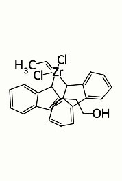 C[CH]=[Zr]([Cl])([Cl])([CH]1C(CCO)=Cc2ccccc21)[CH]1c2ccccc2-c2ccccc21